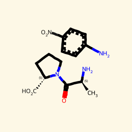 C[C@H](N)C(=O)N1CCC[C@H]1C(=O)O.Nc1ccc([N+](=O)[O-])cc1